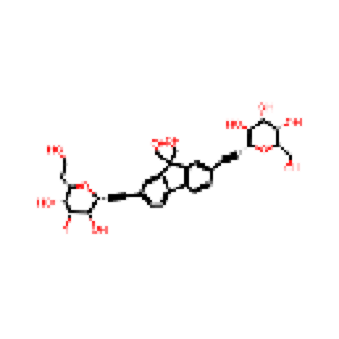 OCC[C@H]1O[C@H](C#Cc2ccc3c(c2)C(CO)(CO)c2cc(C#C[C@H]4O[C@H](CO)[C@@H](O)[C@H](O)[C@@H]4O)ccc2-3)[C@@H](O)[C@@H](O)[C@@H]1O